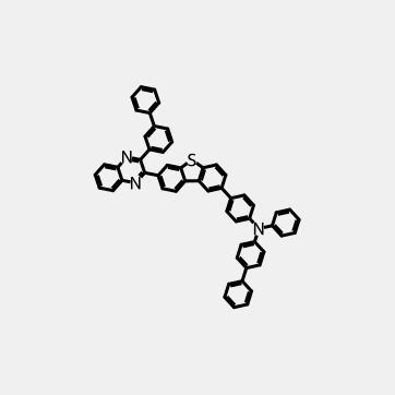 c1ccc(-c2ccc(N(c3ccccc3)c3ccc(-c4ccc5sc6cc(-c7nc8ccccc8nc7-c7cccc(-c8ccccc8)c7)ccc6c5c4)cc3)cc2)cc1